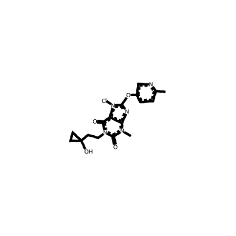 Cc1ccc(Oc2nc3c(c(=O)n(CCC4(O)CC4)c(=O)n3C)n2Cl)cn1